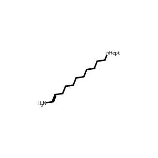 CCCCCCCCC[CH]CCCCCCC=CN